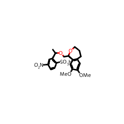 COc1cc2c(cc1OC)C(COC(C)c1cc([N+](=O)[O-])ccc1S(=O)(=O)O)OCCC2